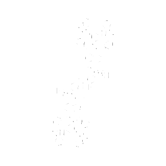 CC(C)(c1ccc(O)c(N2C(=O)c3ccc4c5c(ccc(c35)C2=O)C(=O)N(c2cc(-n3c(-c5ccccc5)nc5ccccc53)cc(-n3c(-c5ccccc5)nc5ccccc53)c2)C4=O)c1)c1ccc(O)c(N2C(=O)c3ccc4c5c(ccc(c35)C2=O)C(=O)N(c2cc(-n3c(-c5ccccc5)nc5ccccc53)cc(-n3c(-c5ccccc5)nc5ccccc53)c2)C4=O)c1